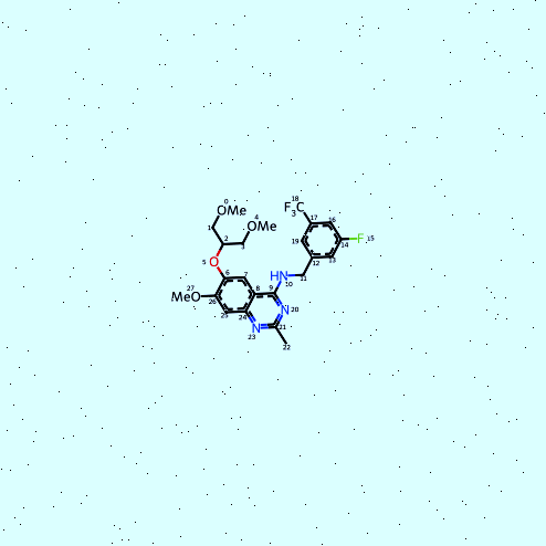 COCC(COC)Oc1cc2c(NCc3cc(F)cc(C(F)(F)F)c3)nc(C)nc2cc1OC